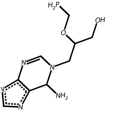 NC1c2nc[nH]c2N=CN1CC(CO)OCP